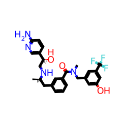 C[C@H](Cc1cccc(C(=O)N(C)Cc2cc(O)cc(C(F)(F)F)c2)c1)NC[C@@H](O)c1ccc(N)nc1